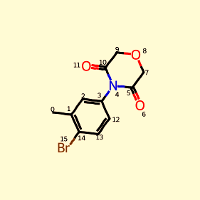 Cc1cc(N2C(=O)COCC2=O)ccc1Br